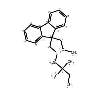 CCC(C)(C)[SiH2]OCC1(COC)c2ccccc2-c2ccccc21